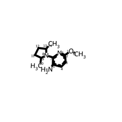 COc1ccc(N)c(N2C(C)CCC2C)n1